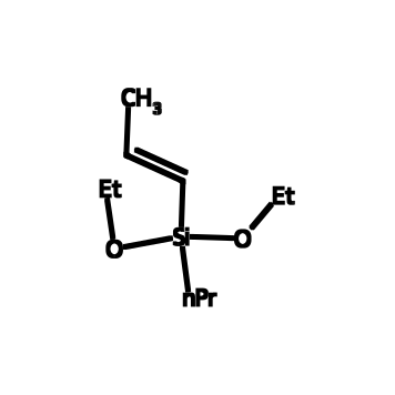 CC=C[Si](CCC)(OCC)OCC